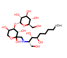 CCCCCCCCCCCCCC[C@@H](O)[C@@H](O)[C@H](CO)NCC1(O)OC[C@@H](O)[C@@H](O[C@H]2O[C@H](CO)[C@@H](O)[C@H](O)[C@H]2O)[C@@H]1O